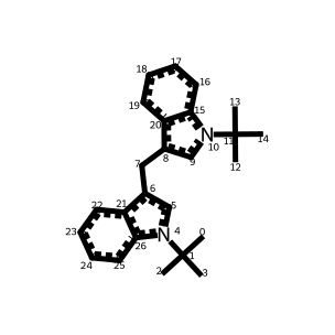 CC(C)(C)n1cc(Cc2cn(C(C)(C)C)c3ccccc23)c2ccccc21